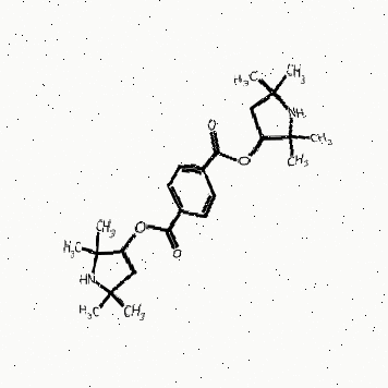 CC1(C)CC(OC(=O)c2ccc(C(=O)OC3CC(C)(C)NC3(C)C)cc2)C(C)(C)N1